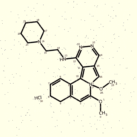 COC1=CC2=C(C=CCC2)C2=c3c(NCCN4CCCCC4)nncc3=C[N+]12OC.Cl